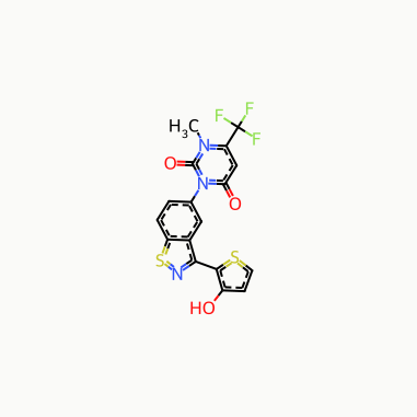 Cn1c(C(F)(F)F)cc(=O)n(-c2ccc3snc(-c4sccc4O)c3c2)c1=O